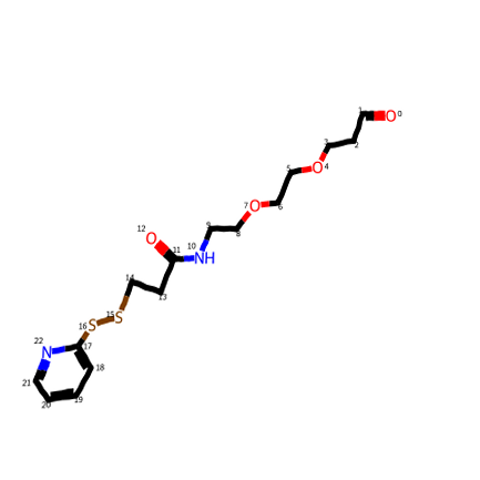 O=CCCOCCOCCNC(=O)CCSSc1ccccn1